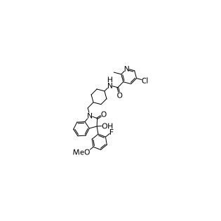 COc1ccc(F)c(C2(O)C(=O)N(CC3CCC(NC(=O)c4cc(Cl)cnc4C)CC3)c3ccccc32)c1